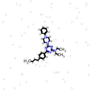 CCCCc1ccc(-c2nc(N(CC)CC)nc(N3CCN(c4ccccc4)CC3)n2)cc1